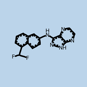 FC(F)c1cccc2cc(Nc3n[nH]c4nccnc34)ccc12